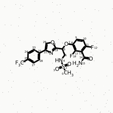 CS(=O)(=O)NCC(Oc1ccc(F)c(C(N)=O)c1F)c1nc(-c2ccc(C(F)(F)F)cc2)co1